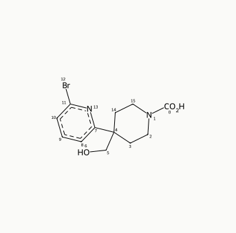 O=C(O)N1CCC(CO)(c2cccc(Br)n2)CC1